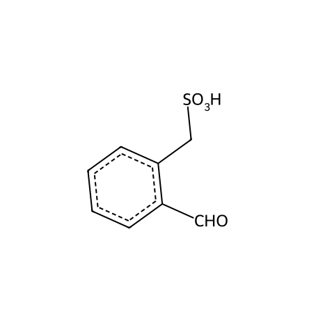 O=Cc1ccccc1CS(=O)(=O)O